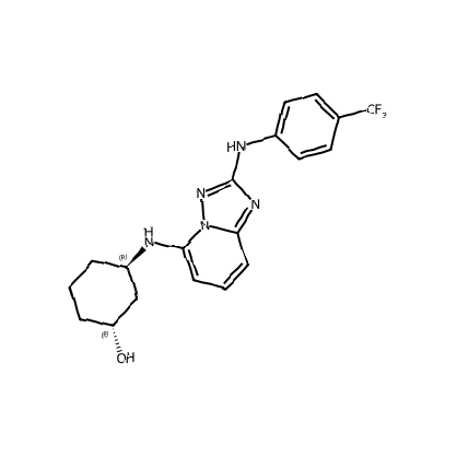 O[C@@H]1CCC[C@@H](Nc2cccc3nc(Nc4ccc(C(F)(F)F)cc4)nn23)C1